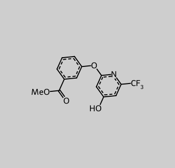 COC(=O)c1cccc(Oc2cc(O)cc(C(F)(F)F)n2)c1